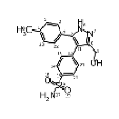 Cc1ccc(-c2[nH]nc(CO)c2-c2ccc(S(N)(=O)=O)cc2)cc1